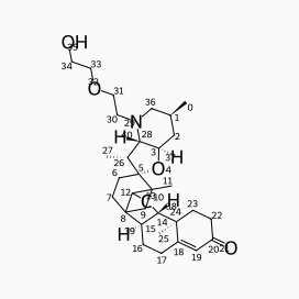 C[C@H]1C[C@H]2O[C@]3(CCC45CC3(C)C4C[C@H]3[C@H]5CCC4=CC(=O)CC[C@@]43C)[C@H](C)[C@@H]2N(CCOCCO)C1